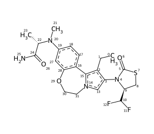 CCc1c(N2C(=O)SC[C@H]2C(F)F)cn2c1-c1ccc(N(C)[C@@H](C)C(N)=O)cc1OCC2